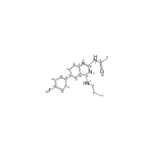 CCCNc1nc(NC(C)=O)nc2ccc(-c3ccc(F)cc3)cc12